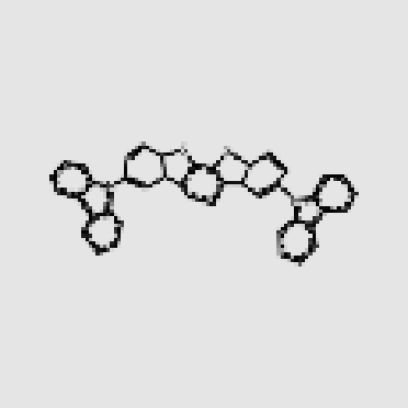 C1=CC2Sc3c(ccc4c3SC3C=CC(n5c6ccccc6c6ccccc65)=CC43)C2C=C1n1c2ccccc2c2ccccc21